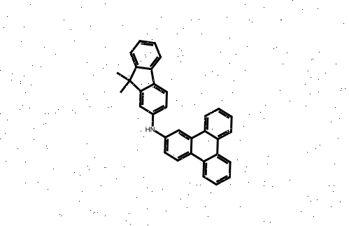 CC1(C)c2ccccc2-c2ccc(Nc3ccc4c5ccccc5c5ccccc5c4c3)cc21